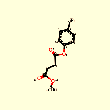 CC(C)c1ccc(OC(=O)CCC(=O)OC(C)(C)C)cc1